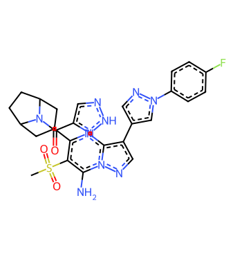 CS(=O)(=O)c1c(C2CC3CCC(C2)N3C(=O)c2cn[nH]n2)nc2c(-c3cnn(-c4ccc(F)cc4)c3)cnn2c1N